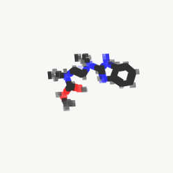 CN(/C=C/N(C)c1nc2ccccc2[nH]1)C(=O)OC(C)(C)C